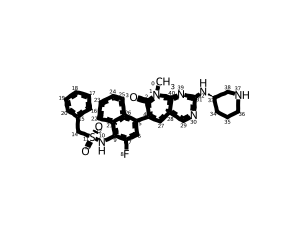 Cn1c(=O)c(-c2cc(F)c(NS(=O)(=O)Cc3ccccc3)c3ccccc23)cc2cnc(N[C@H]3CCCNC3)nc21